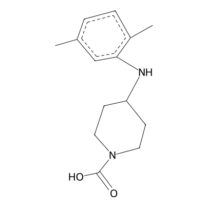 Cc1ccc(C)c(NC2CCN(C(=O)O)CC2)c1